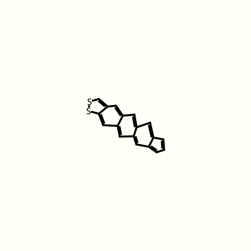 c1cc2cc3cc4cc5cssc5cc4cc3cc2c1